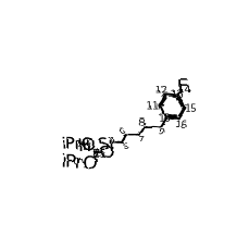 CC(C)OC(O[SiH2]CCCCCc1ccc(F)cc1)OC(C)C